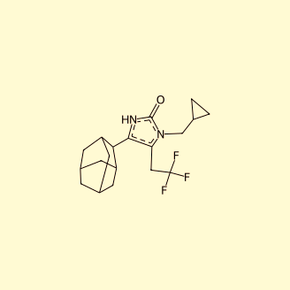 O=c1[nH]c(C2C3CC4CC(C3)CC2C4)c(CC(F)(F)F)n1CC1CC1